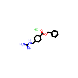 Cl.N=C(N)NCC1CCC(C(=O)OCc2ccccc2)CC1